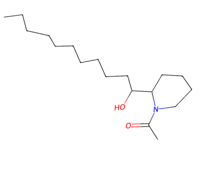 CCCCCCCCCCC(O)C1CCCCN1C(C)=O